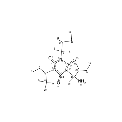 CCC(n1c(=O)n(C(C)(C)C(C)CC)c(=O)n(C(C)(N)C(C)CC)c1=O)C(C)(C)C